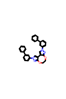 c1ccc(-c2cccc(-n3cc4c(n3)OCCOc3nn(-c5cccc(-c6ccccc6)c5)cc3-4)c2)cc1